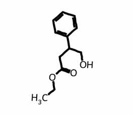 CCOC(=O)CC(CO)c1ccccc1